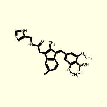 COc1cc(/C=C2/C(C)=C(CC(=O)NCc3cnc[nH]3)c3cc(F)ccc32)cc(OC)c1B(O)O